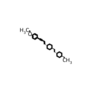 CCOc1ccc(C#CC=C[C@H]2CC[C@H](CC[C@H]3CC[C@H](CC)CC3)CC2)cc1